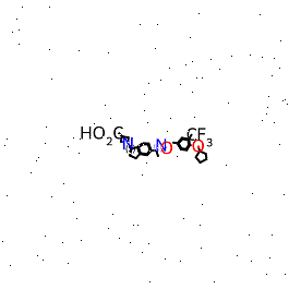 C/C(=N\OCc1ccc(OC2CCCC2)c(C(F)(F)F)c1)c1ccc2c(c1)CC[C@@H]2N1CC(C(=O)O)C1